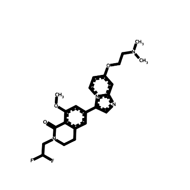 COc1cc(-c2cnc3cc(OCCN(C)C)ccn23)cc2c1C(=O)N(CC(F)F)CC2